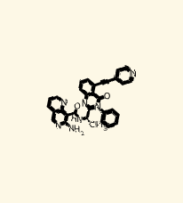 C[C@@H](NC(=O)c1c(N)ncc2cccnc12)c1nc2cccc(C#Cc3ccncc3)c2c(=O)n1-c1ccccc1